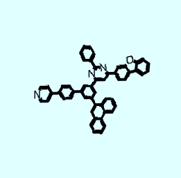 c1ccc(-c2nc(-c3cc(-c4ccc(-c5ccncc5)cc4)cc(-c4cc5ccccc5c5ccccc45)c3)cc(-c3ccc4c(c3)oc3ccccc34)n2)cc1